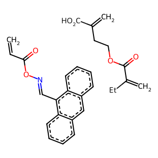 C=C(CCOC(=O)C(=C)CC)C(=O)O.C=CC(=O)ON=Cc1c2ccccc2cc2ccccc12